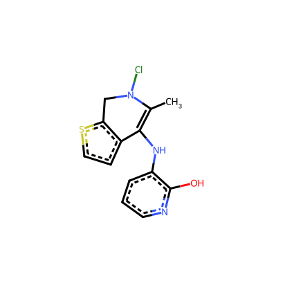 CC1=C(Nc2cccnc2O)c2ccsc2CN1Cl